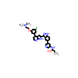 CCC(O)Nc1cncc(-c2ccc3[nH]nc(-c4cc5c(-c6cc(F)cc(OCCN(C)C)c6)ccnc5[nH]4)c3c2)c1